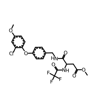 COC(=O)CC(NC(=O)C(F)(F)F)C(=O)NCc1ccc(Oc2ccc(OC)cc2Cl)cc1